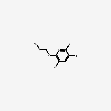 N#CSCOc1nc(F)c(Cl)cc1Cl